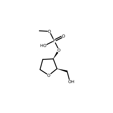 COP(=O)(O)O[C@@H]1CCO[C@@H]1CO